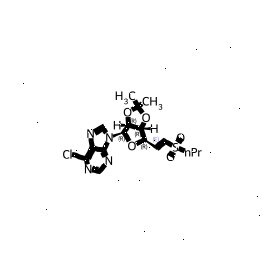 CCCS(=O)(=O)/C=C/[C@H]1O[C@@H](n2cnc3c(Cl)ncnc32)[C@@H]2OC(C)(C)O[C@@H]21